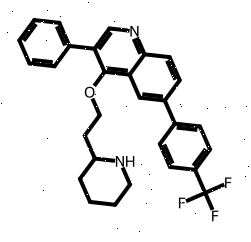 FC(F)(F)c1ccc(-c2ccc3ncc(-c4ccccc4)c(OCCC4CCCCN4)c3c2)cc1